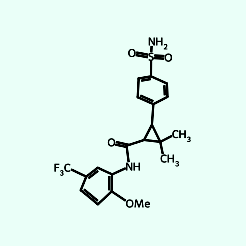 COc1ccc(C(F)(F)F)cc1NC(=O)C1C(c2ccc(S(N)(=O)=O)cc2)C1(C)C